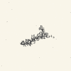 C[C@@H](C(=O)Nc1csc(-c2cnc(N3CC4CC4C3)nc2)n1)n1cnc2c1c(=O)n(CCC(F)(F)F)c(=O)n2C